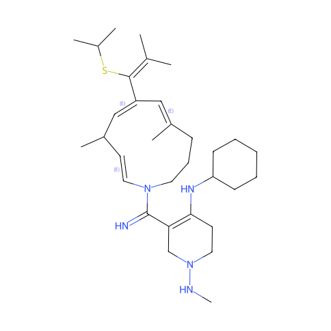 CNN1CCC(NC2CCCCC2)=C(C(=N)N2/C=C/C(C)/C=C(C(SC(C)C)=C(C)C)\C=C(/C)CCC2)C1